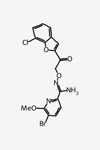 COc1nc(/C(N)=N/OCC(=O)c2cc3cccc(Cl)c3o2)ccc1Br